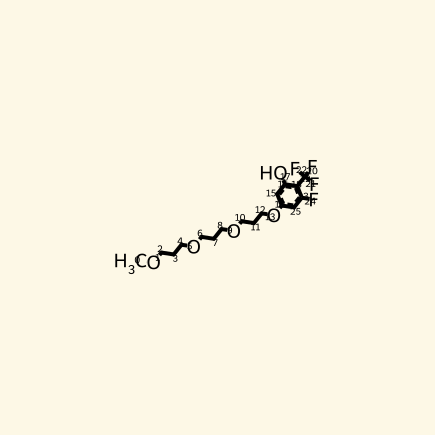 COCCCOCCCOCCCOc1cc(O)c(C(F)(F)F)c(F)c1